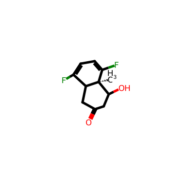 C[C@@]12C(F)=CC=C(F)C1CC(=O)CC2O